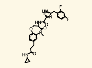 CN1C(=O)[C@H](NC(=O)c2n[nH]c(Cc3ccc(F)cc3F)n2)COc2ccc(CCC(=O)NC3CC3)cc21